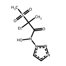 CCC(C)(C(=O)N(O)n1ccnn1)S(C)(=O)=O